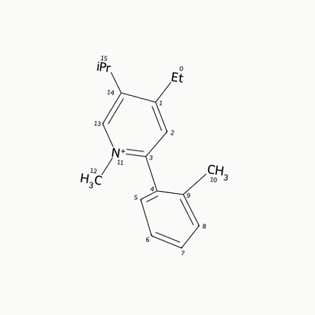 CCc1cc(-c2ccccc2C)[n+](C)cc1C(C)C